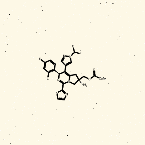 COC(=O)OC[C@@]1(N)CC2=C(c3cnn(C(F)F)c3)[C@H](c3ccc(F)cc3Cl)N=C(c3nccs3)N2C1